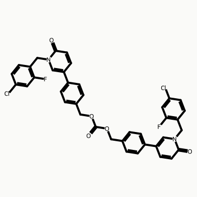 O=C(OCc1ccc(-c2ccc(=O)n(Cc3ccc(Cl)cc3F)c2)cc1)OCc1ccc(-c2ccc(=O)n(Cc3ccc(Cl)cc3F)c2)cc1